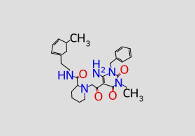 CCn1c(=O)c(C(=O)CN2CCCCC2C(=O)NCCC2=CC=CC(C)C2)c(N)n(Cc2ccccc2)c1=O